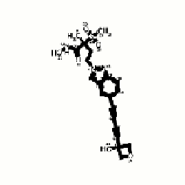 C[C@@](CCn1cc2cc(C#CC#CC3(O)COC3)ccc2n1)(C(=O)NO)S(C)(=O)=O